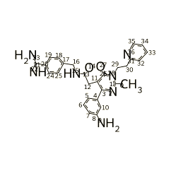 Cc1nc(-c2cccc(N)c2)c(CC(=O)NCc2ccc(C(=N)N)cc2)c(=O)n1CCc1ccccn1